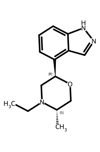 CCN1C[C@@H](c2cccc3[nH]ncc23)OC[C@@H]1C